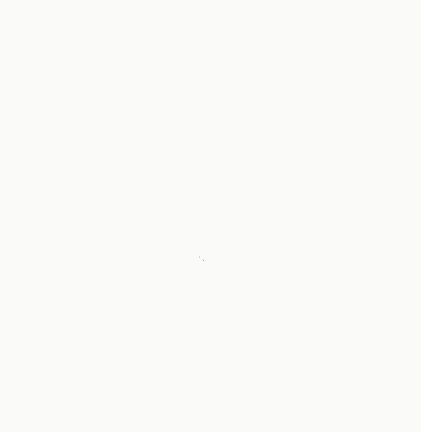 C=Cc1ccc([N+](=O)[O-])c(Cl)c1